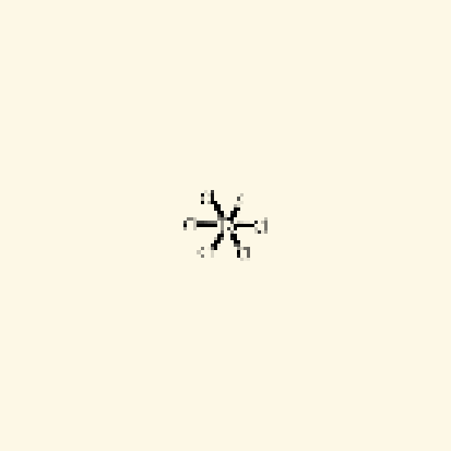 [Cl][Ta]([Cl])([Cl])([Cl])([Cl])[Cl]